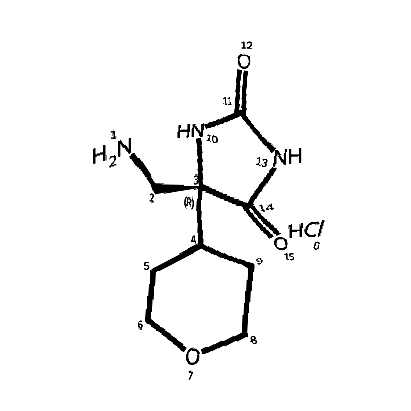 Cl.NC[C@@]1(C2CCOCC2)NC(=O)NC1=O